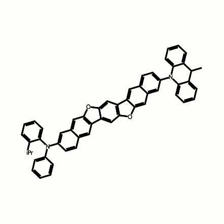 CC(C)c1ccccc1N(c1ccccc1)c1ccc2cc3c(cc2c1)oc1cc2c(cc13)oc1cc3cc(N4c5ccccc5C(C)c5ccccc54)ccc3cc12